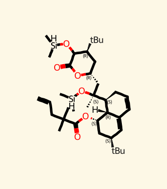 C=CCC(C)(C)C(=O)O[C@H]1C[C@H](C(C)(C)C)C=C2C=CC[C@H]([C@](C)(C[C@H]3C[C@H](C(C)(C)C)C(O[SiH](C)C)C(=O)O3)O[SiH](C)C)[C@H]21